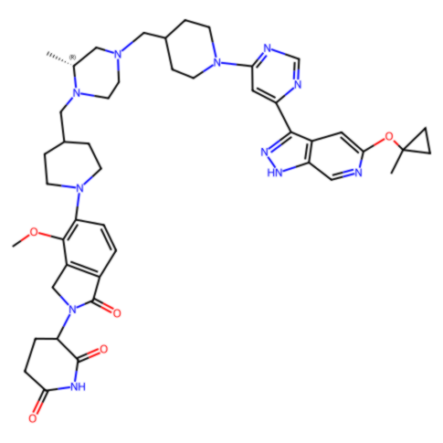 COc1c(N2CCC(CN3CCN(CC4CCN(c5cc(-c6n[nH]c7cnc(OC8(C)CC8)cc67)ncn5)CC4)C[C@H]3C)CC2)ccc2c1CN(C1CCC(=O)NC1=O)C2=O